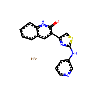 Br.O=c1[nH]c2ccccc2cc1-c1csc(Nc2cccnc2)n1